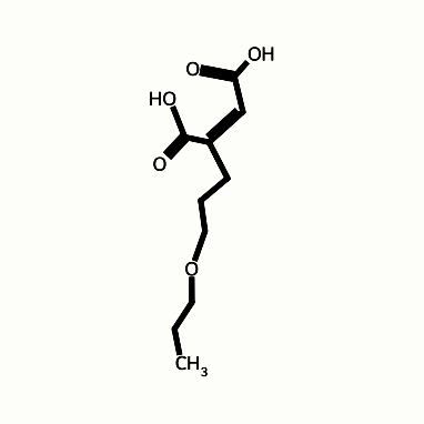 CCCOCCCC(=CC(=O)O)C(=O)O